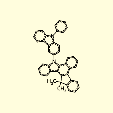 CC1(C)c2ccccc2-c2c1c1c3ccccc3n(-c3ccc4c(c3)c3ccccc3n4-c3ccccc3)c1c1ccccc21